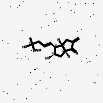 C=C1C[C@H]2[C@H](/C=C/CC(C)(O)CCCCC)[C@@H](O)C[C@@H]2C1=O